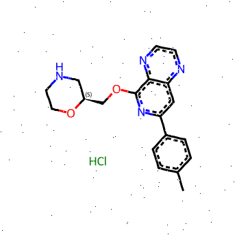 Cc1ccc(-c2cc3nccnc3c(OC[C@@H]3CNCCO3)n2)cc1.Cl